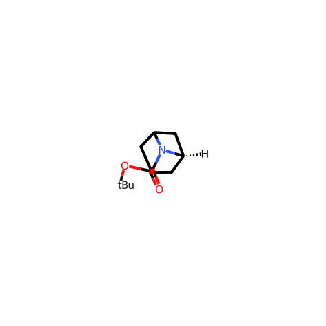 CC(C)(C)OC(=O)N1C2CCC[C@@H]1C2